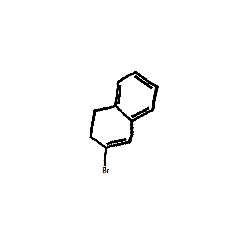 BrC1=Cc2ccccc2CC1